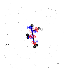 CC(C)(C)OC(=O)CCC(=O)N[C@@H](CCCCNC(=O)C(CCCCNC(=O)OCC1c2ccccc2-c2ccccc21)NC(=O)OCC1C2=C(CCC=C2)c2ccccc21)C(=O)NCCNC1=C=CCCCC1